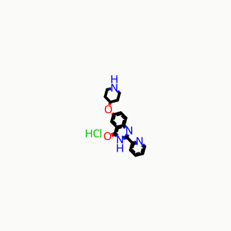 Cl.O=c1[nH]c(-c2ccccn2)nc2ccc(OC3CCNCC3)cc12